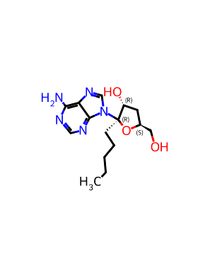 CCCCC[C@@]1(n2cnc3c(N)ncnc32)O[C@H](CO)C[C@H]1O